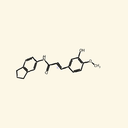 COc1ccc(/C=C/C(=O)Nc2ccc3c(c2)CCC3)cc1O